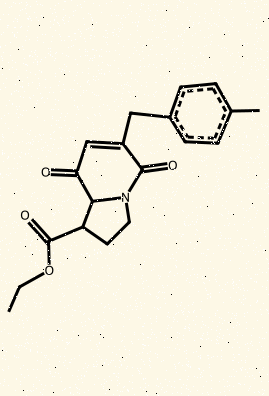 CCOC(=O)C1CCN2C(=O)C(Cc3ccc(C)cc3)=CC(=O)C12